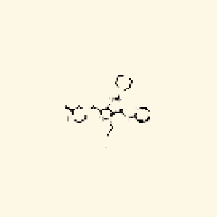 C=C1CN(Cc2nn(CCOCC)c3c(Nc4ccncn4)nc(N4CCNCC4)nc23)CCN1